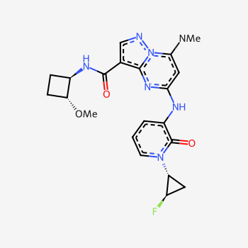 CNc1cc(Nc2cccn([C@@H]3C[C@H]3F)c2=O)nc2c(C(=O)N[C@@H]3CC[C@H]3OC)cnn12